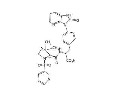 CC1(C)SCN(S(=O)(=O)c2cccnc2)[C@@H]1C(=O)NC(Cc1ccc(-n2c(=O)[nH]c3cccnc32)cc1)C(=O)O